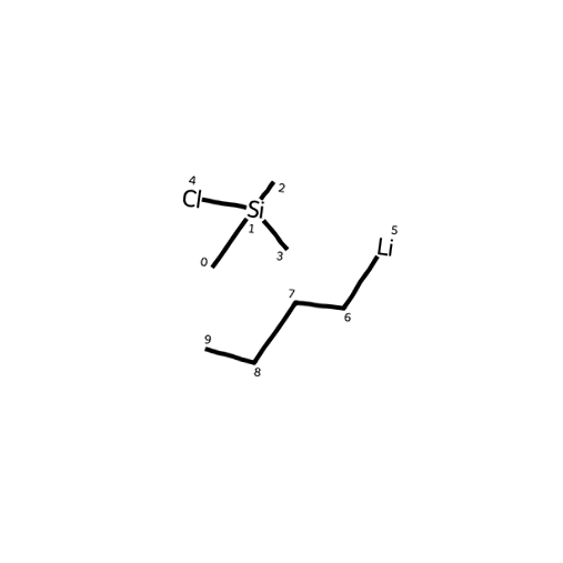 C[Si](C)(C)Cl.[Li][CH2]CCC